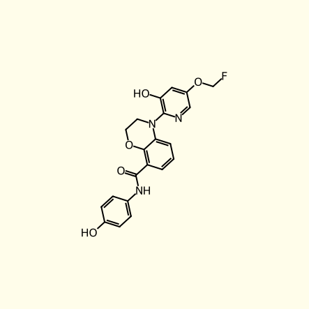 O=C(Nc1ccc(O)cc1)c1cccc2c1OCCN2c1ncc(OCF)cc1O